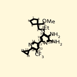 CCN(CC1(COC)CCCC1)c1cc(-c2cnc(C3CC3)c(C(F)(F)F)c2)nc(N)c1N